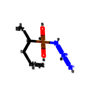 CCCCCCCCC(CCC)S(=O)(=O)N=[N+]=[N-]